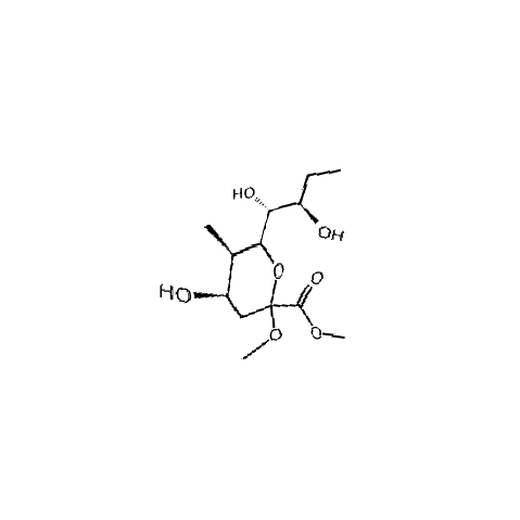 CC[C@@H](O)[C@@H](O)C1OC(OC)(C(=O)OC)C[C@@H](O)[C@H]1C